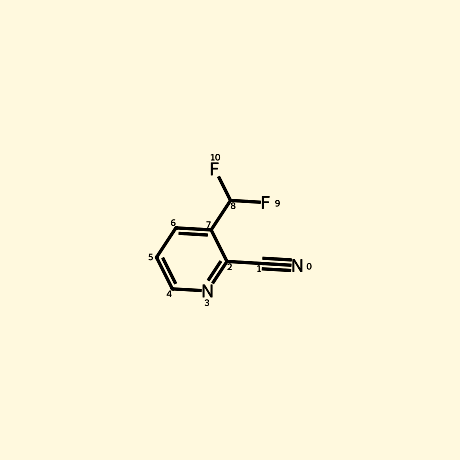 N#Cc1ncccc1C(F)F